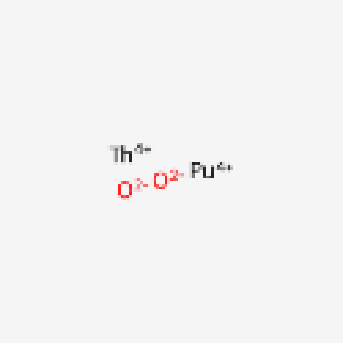 [O-2].[O-2].[Pu+4].[Th+4]